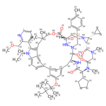 CCn1c(-c2cccnc2[C@H](C)OC)c2c3cc(ccc31)-c1cc(cc(O[Si](C)(C)C(C)(C)C)c1)C[C@H](NC(=O)[C@H](C1CCCC1)N(C)C(=O)CN(C)C(=O)[C@H]1[C@@H](C3CC3)N1[S@+]([O-])c1ccc(C)cc1)C(=O)N1CCC[C@H](N1)C(=O)OCC(C)(C)C2